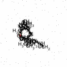 C=CC(=O)NCCN1CCN(C(=O)N(C)C(C(=O)N[C@H]2Cc3nc(cs3)-c3ccc4c(c3)c(c(-c3cccnc3[C@H](C)OC)n4CC)CC(C)(C)COC(=O)[C@@H]3CCCN(N3)C2=O)C(C)C)CC1